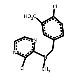 CN(Cc1ccc(Cl)c(C(=O)O)c1)c1nccnc1Cl